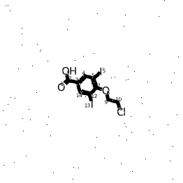 O=C(O)c1cc(I)c(OCCCl)c(I)c1